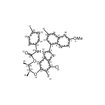 COc1cnc2c(-c3nc4c(Cl)c(F)c(O[C@@H](C)[C@@H](C)OC(=O)Nc5cnc(C)nc5)cc4s3)cc(C)cc2n1